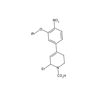 CCC1C=C(c2ccc([N+](=O)[O-])c(OC(C)C)c2)CCN1C(=O)O